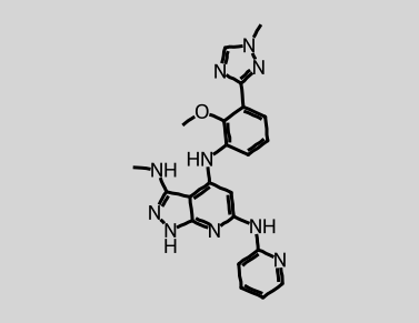 CNc1n[nH]c2nc(Nc3ccccn3)cc(Nc3cccc(-c4ncn(C)n4)c3OC)c12